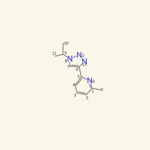 Cc1cccc(-c2cn(C(C)C)nn2)n1